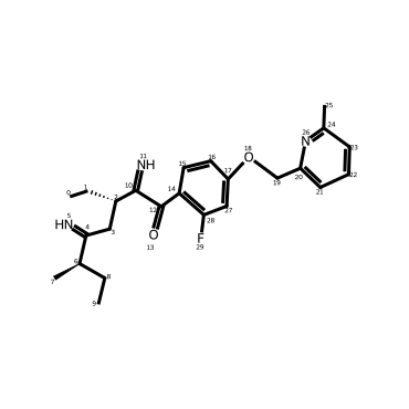 CC[C@@H](CC(=N)[C@H](C)CC)C(=N)C(=O)c1ccc(OCc2cccc(C)n2)cc1F